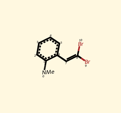 CNc1ccccc1C=C(Br)Br